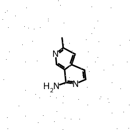 Cc1cc2ccnc(N)c2cn1